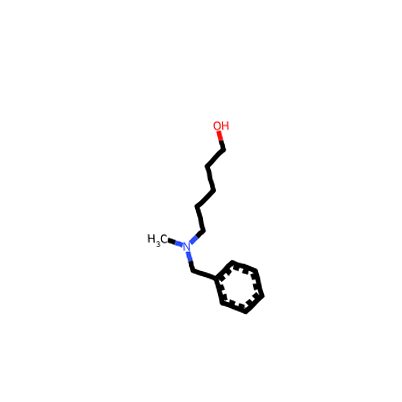 CN(CCCCCO)Cc1ccccc1